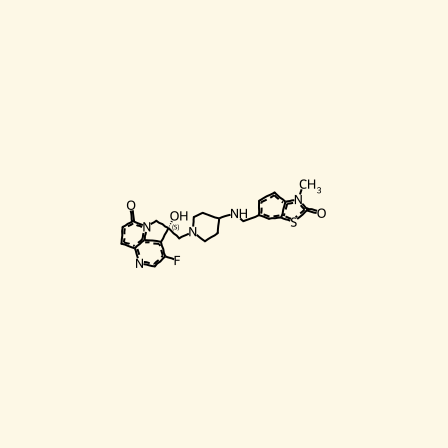 Cn1c(=O)sc2cc(CNC3CCN(C[C@]4(O)Cn5c(=O)ccc6ncc(F)c4c65)CC3)ccc21